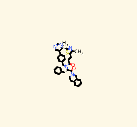 Cc1nc(C)c(C=CC(=O)N(Cc2ccc(-c3cncnc3)cc2)[C@@H](Cc2ccccc2)C(=O)N2CCc3ccccc3C2)s1